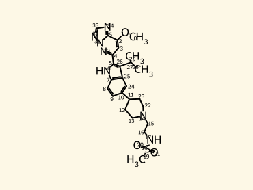 COc1cc(-c2[nH]c3ccc(C4CCN(CCNS(C)(=O)=O)CC4)cc3c2C(C)C)nn2ncnc12